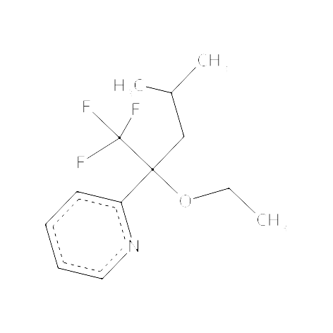 CCOC(CC(C)C)(c1ccccn1)C(F)(F)F